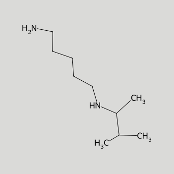 CC(C)C(C)NCCCCCN